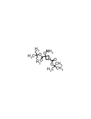 CC(C)(C)OC(=O)N1CC(ON)(C(=O)OC(C)(C)C)C1